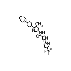 Cc1cc(NC(=O)c2cnn(-c3ccc(C(F)(F)F)cn3)c2)cnc1C1=CCC(N2CCOCC2)CC1